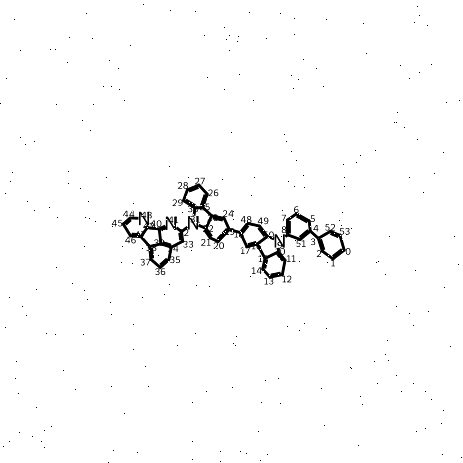 c1ccc(-c2cccc(-n3c4ccccc4c4cc(-c5ccc6c(c5)c5ccccc5n6-c5cc6cccc7c6c(n5)-c5ncccc5-7)ccc43)c2)cc1